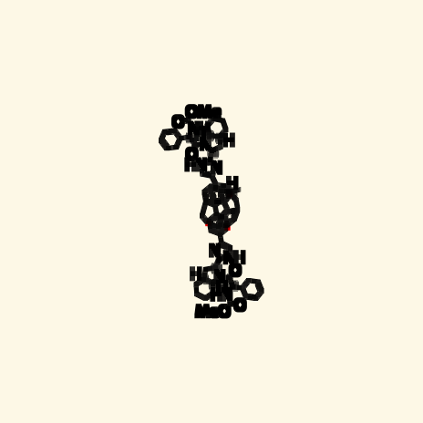 COC(=O)N[C@H](C(=O)N1[C@H](c2nc(-c3ccc(-c4cc5ccc4CCc4ccc(c(-c6ccc(-c7c[nH]c([C@@H]8C[C@@H]9CCCC[C@@H]9N8C(=O)[C@@H](NC(=O)OC)C8C=CC=CC8)n7)cc6)c4)C[C@H]5C)cc3)c[nH]2)C[C@@H]2CCCC[C@@H]21)C1C=CC=CC1